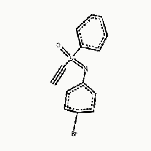 C#CS(=O)(=Nc1ccc(Br)cc1)c1ccccc1